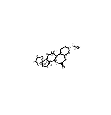 C[C@]12CC[C@H](OS)CC1CC(=O)OC1C2CC[C@@]2(C)C1CCC21OCCO1